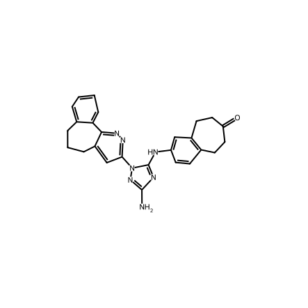 Nc1nc(Nc2ccc3c(c2)CCC(=O)CC3)n(-c2cc3c(nn2)-c2ccccc2CCC3)n1